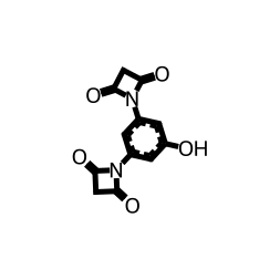 O=C1CC(=O)N1c1cc(O)cc(N2C(=O)CC2=O)c1